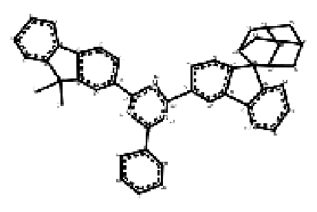 CC1(C)c2ccccc2-c2ccc(-c3nc(-c4ccccc4)nc(-c4ccc5c(c4)-c4ncccc4C54C5CC6CC(C5)CC4C6)n3)cc21